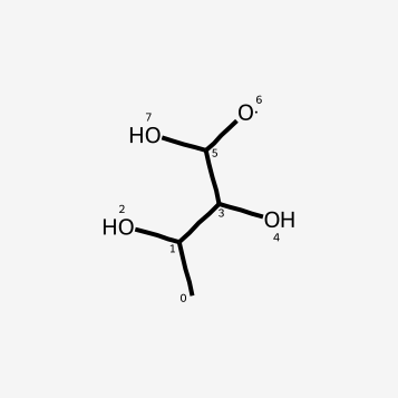 CC(O)C(O)C([O])O